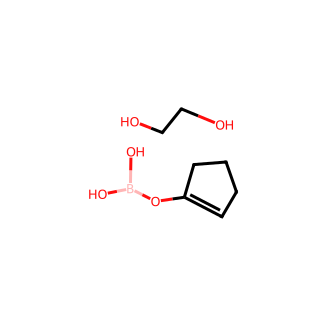 OB(O)OC1=CCCC1.OCCO